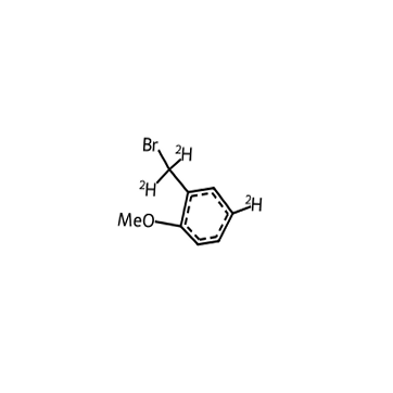 [2H]c1ccc(OC)c(C([2H])([2H])Br)c1